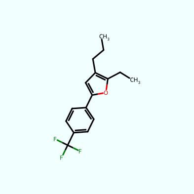 CCCc1cc(-c2ccc(C(F)(F)F)cc2)oc1CC